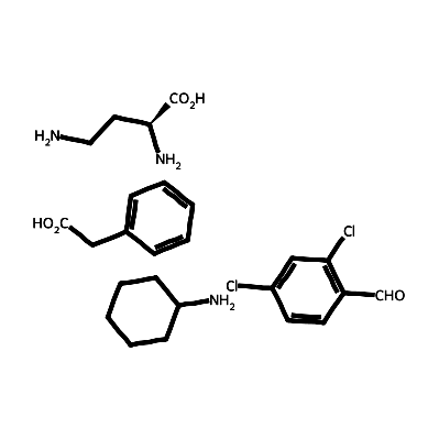 NC1CCCCC1.NCC[C@H](N)C(=O)O.O=C(O)Cc1ccccc1.O=Cc1ccc(Cl)cc1Cl